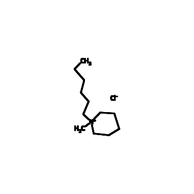 CCCCCC[N+]1(C)CCCCC1.[Cl-]